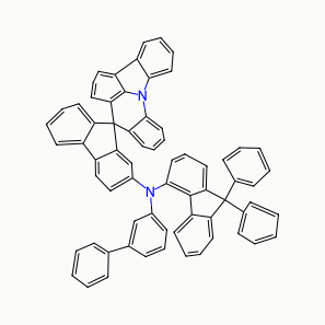 c1ccc(-c2cccc(N(c3ccc4c(c3)C3(c5ccccc5-4)c4ccccc4-n4c5ccccc5c5cccc3c54)c3cccc4c3-c3ccccc3C4(c3ccccc3)c3ccccc3)c2)cc1